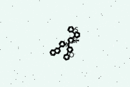 C[Si]1(C)c2cc(N(c3cccc(-c4ccc5ccccc5c4)c3)c3ccc4oc5ccccc5c4c3)ccc2-c2c1ccc1sc3ccccc3c21